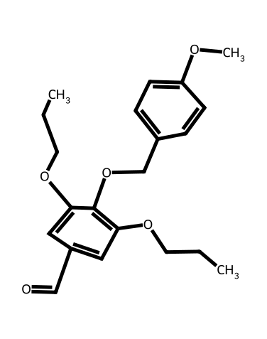 CCCOc1cc(C=O)cc(OCCC)c1OCc1ccc(OC)cc1